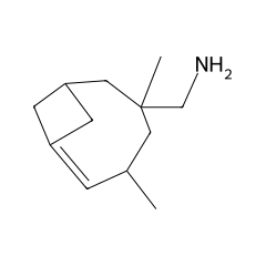 CC1C=C2CC(C2)CC(C)(CN)C1